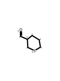 O=[C]C1CCCSC1